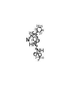 CC(C)(C)OC(=O)NCCNC(=O)CCC(C)(C#N)SC(=S)c1ccccc1